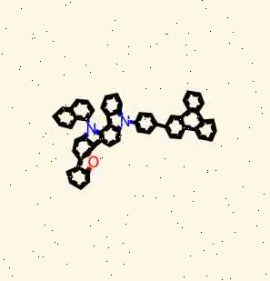 c1ccc2c(-n3c4ccc5c6ccccc6oc5c4c4ccc5c(c6ccccc6n5-c5ccc(-c6ccc7c8ccccc8c8ccccc8c7c6)cc5)c43)cccc2c1